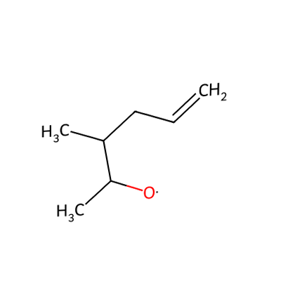 C=CCC(C)C(C)[O]